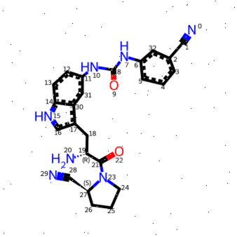 N#Cc1cccc(NC(=O)Nc2ccc3[nH]cc(C[C@@H](N)C(=O)N4CCC[C@H]4C#N)c3c2)c1